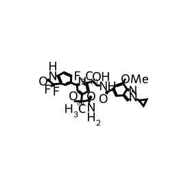 COc1cc(C(=O)NC[C@](O)(c2cc3c(c(-c4ccc5c(c4)C(F)(F)C(=O)N5)n2)OC[C@]3(C)C(N)=O)C(F)(F)F)cc2cn(C3CC3)nc12